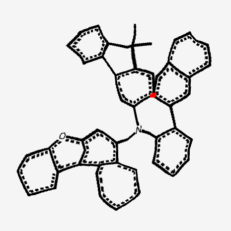 CC1(C)c2ccccc2-c2cc(N(c3ccccc3-c3ccc4ccccc4c3)c3cc4oc5ccccc5c4c4ccccc34)ccc21